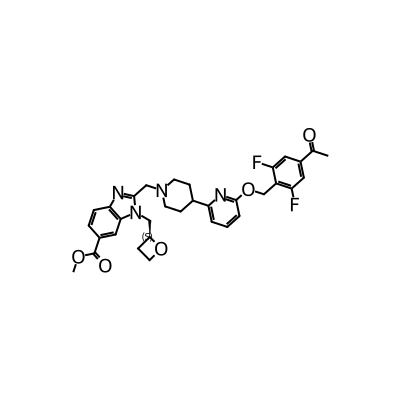 COC(=O)c1ccc2nc(CN3CCC(c4cccc(OCc5c(F)cc(C(C)=O)cc5F)n4)CC3)n(C[C@@H]3CCO3)c2c1